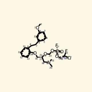 COc1cccc(CCc2ccccc2OC[C@H](CN(C)C)OCO[P@](=O)(F)O/N=C(\F)Cl)c1